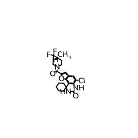 C[C@@]12CCN(C(=O)c3cc4cc(Cl)c5c(c4o3)C3(CCCCC3)NC(=O)N5)C[C@@H]1C2(F)F